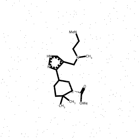 CNCCN(C)Cc1c[nH]nc1C1CCC(C)(C)[C@@H](C(=O)OC)C1